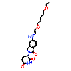 CCOCCCCCOCCNc1ccc2c(c1)CN(C1CCC(=O)NC1=O)C2=O